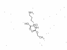 CCOC(=O)N[C@@H](CCCCN)C(=O)O.Cl